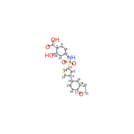 O=C(O)c1ccc(NS(=O)(=O)c2cc(-c3ccc4c(c3)CCO4)cs2)cc1O